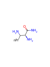 CCCC(N)[C@H](N)C(N)=O